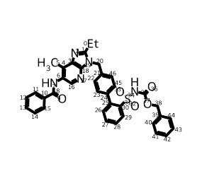 CCc1nc2c(C)c(NC(=O)c3ccccc3)cnc2n1Cc1ccc(-c2ccccc2S(=O)(=O)NC(=O)OCc2ccccc2)cc1